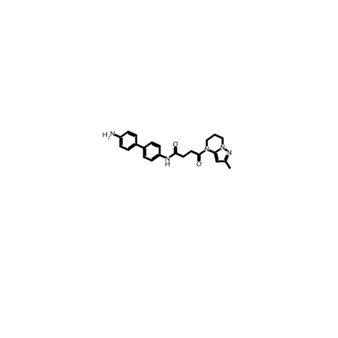 Cc1cc2n(n1)CCCN2C(=O)CCC(=O)Nc1ccc(-c2ccc(N)cc2)cc1